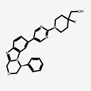 OCC1(F)CCN(c2ncc(-c3ccc4nc5n(c4c3)[C@@H](c3ccccc3)COC5)cn2)CC1